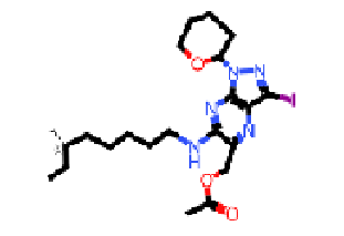 CC[C@H](C)CCCCCNc1nc2c(nc1COC(C)=O)c(I)nn2C1CCCCO1